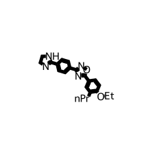 CCCc1cc(-c2nc(-c3ccc(C4=NCCN4)cc3)no2)ccc1OCC